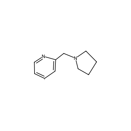 [c]1ccnc(CN2CCCC2)c1